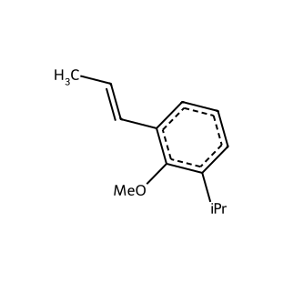 CC=Cc1cccc(C(C)C)c1OC